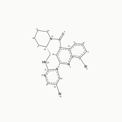 O=C(c1ccnc2c(Br)cccc12)N1CCCC[C@H]1CNc1ncc(Br)cn1